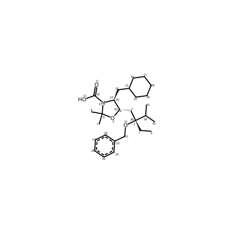 CC[C@](C[C@@H]1OC(C)(C)N(C(=O)O)[C@H]1CC1CCCCC1)(OCc1ccccc1)C(C)C